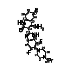 CC(C)N1CCN(c2c(F)cc3nc(-c4c(N)c5cc(F)ccc5[nH]c4=O)[nH]c3c2F)CC1